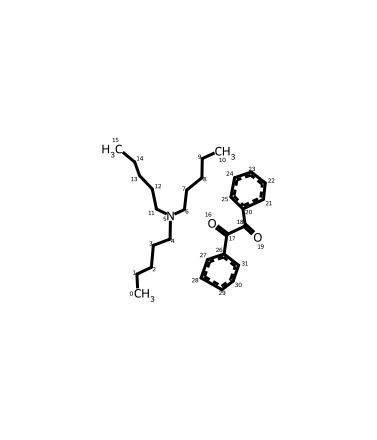 CCCCCN(CCCCC)CCCCC.O=C(C(=O)c1ccccc1)c1ccccc1